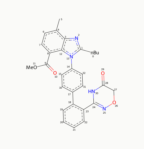 CCCCc1nc2c(C)ccc(C(=O)OC)c2n1-c1ccc(-c2ccccc2C2=NOCC(=O)N2)cc1